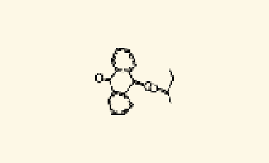 CCC(C)=O.O=C1c2ccccc2C(=O)c2ccccc21